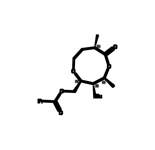 CCCC[C@H]1[C@H](C)OC(=O)[C@@H](C)CCO[C@@H]1COC(=O)C(C)C